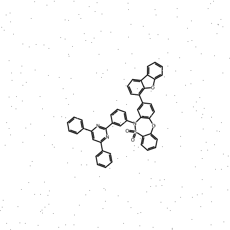 O=S1(=O)c2ccccc2Oc2ccc(-c3cccc4c3oc3ccccc34)cc2N1c1cccc(-c2nc(-c3ccccc3)cc(-c3ccccc3)n2)c1